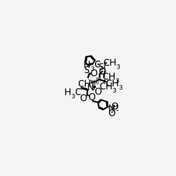 CC(C)=C(C(=O)OCc1ccc([N+](=O)[O-])cc1)N1C(=O)[C@@H]([C@@H](CO[SiH](C)C)C(C)(C)C)[C@H]1CC(=O)Sc1ccccc1